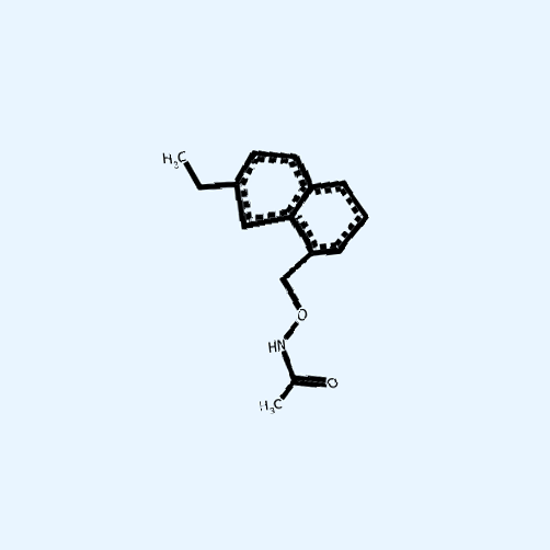 CCc1ccc2cccc(CONC(C)=O)c2c1